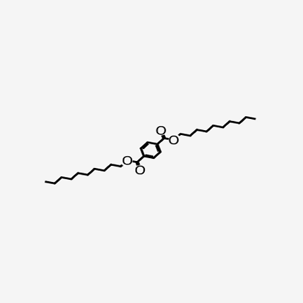 CCCCCCCCCCOC(=O)c1ccc(C(=O)OCCCCCCCCCC)cc1